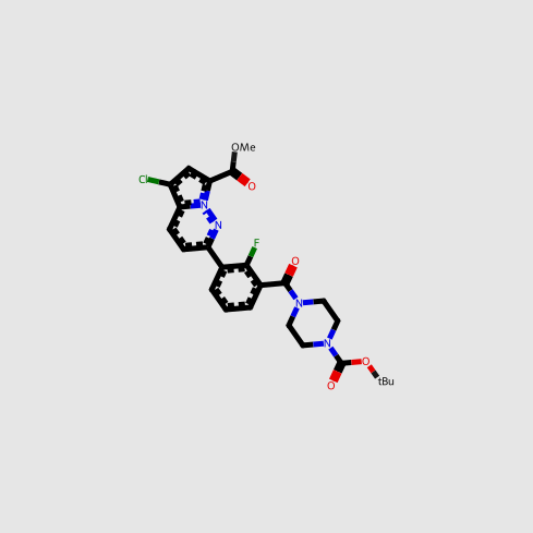 COC(=O)c1cc(Cl)c2ccc(-c3cccc(C(=O)N4CCN(C(=O)OC(C)(C)C)CC4)c3F)nn12